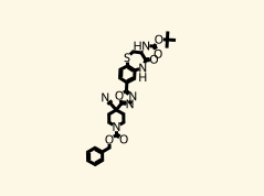 CC(C)(C)OC(=O)N[C@H]1CSc2ccc(-c3nnc(C4(C#N)CCN(C(=O)OCc5ccccc5)CC4)o3)cc2NC1=O